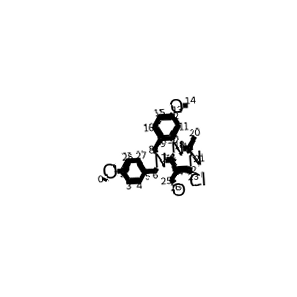 COc1ccc(CN(Cc2ccc(OC)cc2)c2nc(C)nc(Cl)c2C=O)cc1